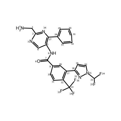 NCc1ncc(NC(=O)c2ccc(C(F)(F)F)c(-c3ccn(C(F)F)n3)c2)c(-c2ccccc2)n1